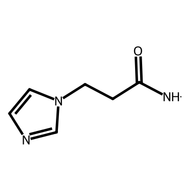 [NH]C(=O)CCn1ccnc1